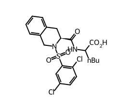 CCCCC(NC(=O)[C@@H]1Cc2ccccc2CN1S(=O)(=O)c1cc(Cl)ccc1Cl)C(=O)O